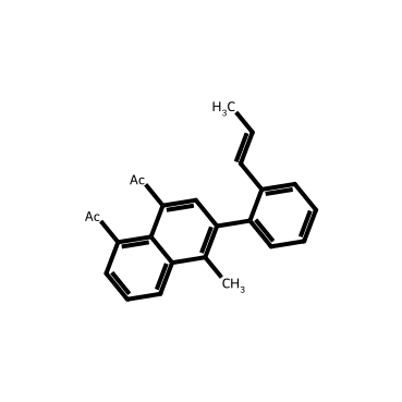 C/C=C/c1ccccc1-c1cc(C(C)=O)c2c(C(C)=O)cccc2c1C